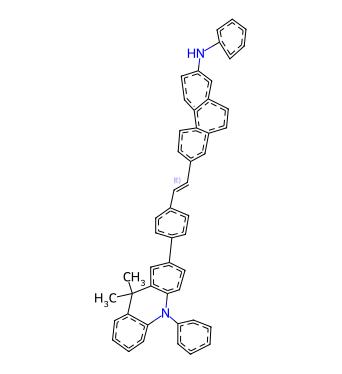 CC1(C)c2ccccc2N(c2ccccc2)c2ccc(-c3ccc(/C=C/c4ccc5c(ccc6cc(Nc7ccccc7)ccc65)c4)cc3)cc21